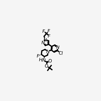 CC(C)(C)OC(=O)N[C@@H]1CN(c2cc(Cl)ncc2-c2cnn(CC(F)(F)F)c2)CC[C@H]1F